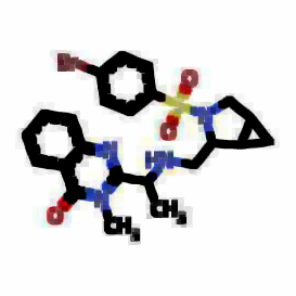 CC(NCC1C2CC2CN1S(=O)(=O)c1ccc(Br)cc1)c1nc2ccccc2c(=O)n1C